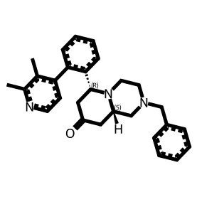 Cc1nccc(-c2ccccc2[C@H]2CC(=O)C[C@H]3CN(Cc4ccccc4)CCN32)c1C